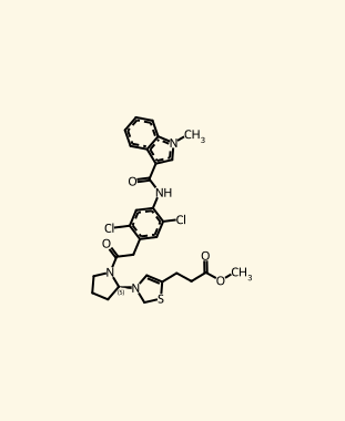 COC(=O)CCC1=CN([C@H]2CCCN2C(=O)Cc2cc(Cl)c(NC(=O)c3cn(C)c4ccccc34)cc2Cl)CS1